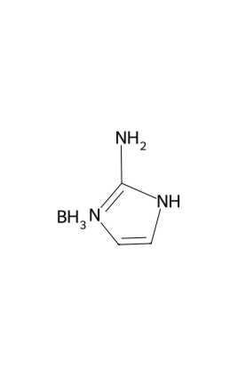 B.Nc1ncc[nH]1